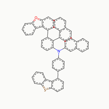 c1cc(-c2cccc3oc4ccccc4c23)c(-c2cccc3ccccc23)c(N(c2ccc(-c3cccc4sc5ccccc5c34)cc2)c2ccc3ccccc3c2)c1